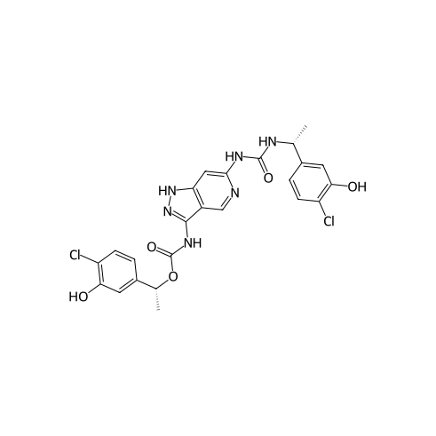 C[C@@H](NC(=O)Nc1cc2[nH]nc(NC(=O)O[C@H](C)c3ccc(Cl)c(O)c3)c2cn1)c1ccc(Cl)c(O)c1